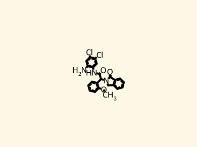 COc1ccccc1C(C(=O)Nc1cc(Cl)c(Cl)cc1N)N1Cc2ccccc2C1=O